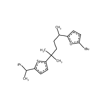 CC(CCC(C)(C)c1ccc(C(C)C(C)C)s1)c1ccc(C(C)(C)C)o1